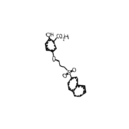 O=C(O)c1cc(OCCCS(=O)(=O)c2ccc3ccccc3c2)ccc1O